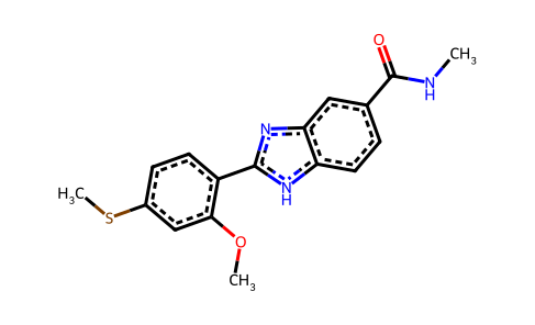 CNC(=O)c1ccc2[nH]c(-c3ccc(SC)cc3OC)nc2c1